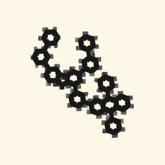 c1ccc(-c2cccc(-c3ccc4sc5c(-c6cccc(-c7ccc8c(-c9ccccc9)c9ccccc9c(-c9ccccc9)c8c7)c6)cc(-c6cccc(-c7ccccc7)c6)cc5c4c3)c2)cc1